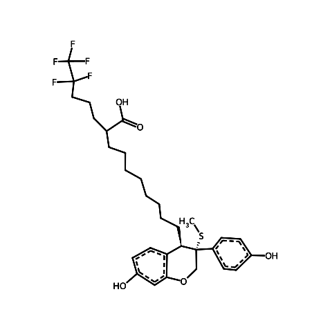 CS[C@]1(c2ccc(O)cc2)COc2cc(O)ccc2[C@H]1CCCCCCCCC(CCCC(F)(F)C(F)(F)F)C(=O)O